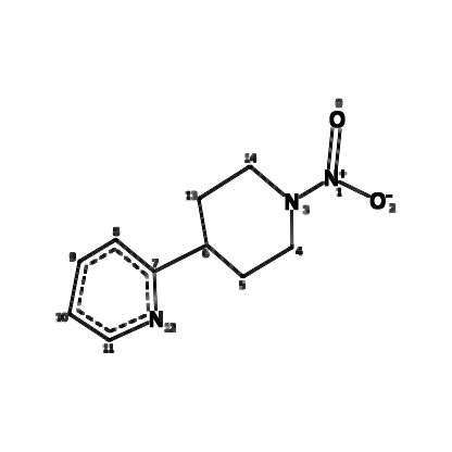 O=[N+]([O-])N1CCC(c2ccccn2)CC1